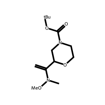 C=C(C1CN(C(=O)OC(C)(C)C)CCO1)N(C)OC